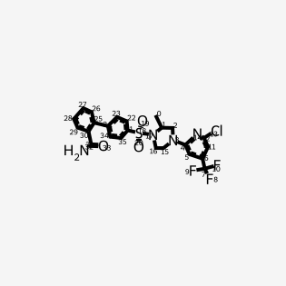 CC1CN(c2cc(C(F)(F)F)cc(Cl)n2)CCN1S(=O)(=O)c1ccc(-c2ccccc2C(N)=O)cc1